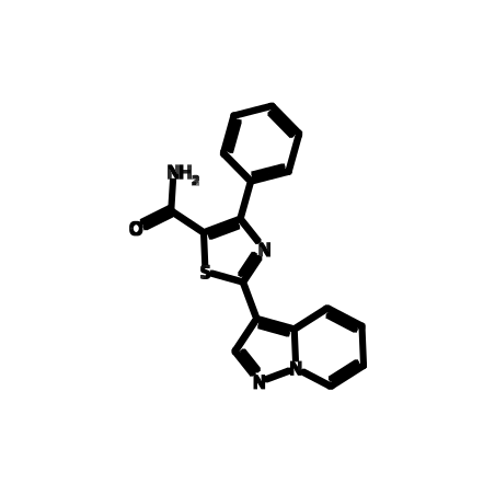 NC(=O)c1sc(-c2cnn3ccccc23)nc1-c1ccccc1